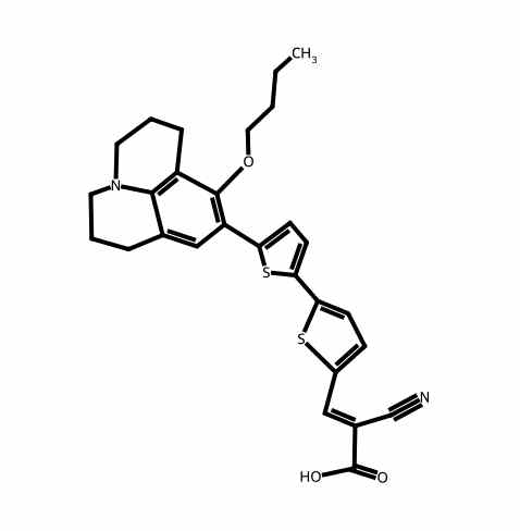 CCCCOc1c(-c2ccc(-c3ccc(/C=C(\C#N)C(=O)O)s3)s2)cc2c3c1CCCN3CCC2